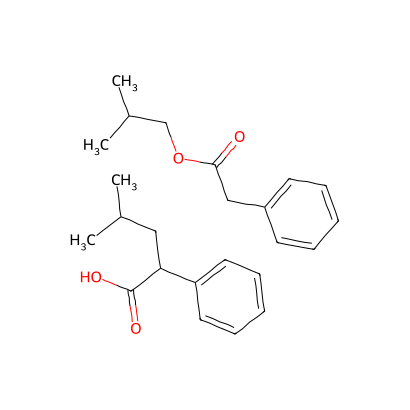 CC(C)CC(C(=O)O)c1ccccc1.CC(C)COC(=O)Cc1ccccc1